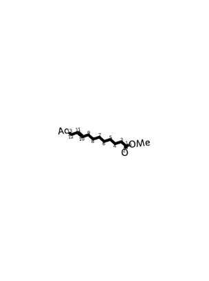 COC(=O)CCCCCCC/C=C/CC(C)=O